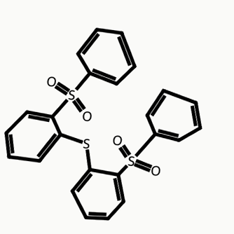 O=S(=O)(c1ccccc1)c1ccccc1Sc1ccccc1S(=O)(=O)c1ccccc1